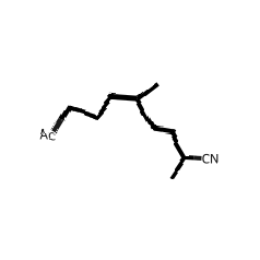 CC(=O)CCCC(C)CCC(C)C#N